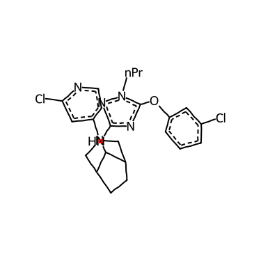 CCCn1nc(NC2C3CCC2CN(c2ccnc(Cl)c2)C3)nc1Oc1cccc(Cl)c1